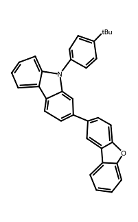 CC(C)(C)c1ccc(-n2c3ccccc3c3ccc(-c4ccc5oc6ccccc6c5c4)cc32)cc1